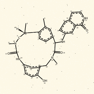 Cc1cc2ccc1[C@@H](C)CN(C)C(=O)Nc1ccc(O)c(c1)CN(C)C(=O)C2Nc1ccc2cc[nH]c(=O)c2c1